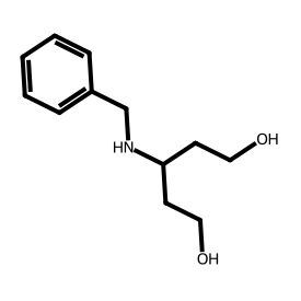 OCCC(CCO)NCc1ccccc1